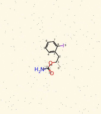 C[C@@H](Cc1ccccc1I)OC(N)=O